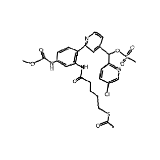 COC(=O)Nc1ccc(-c2cc(C(OS(C)(=O)=O)c3ccc(Cl)cn3)ccn2)c(NC(=O)CCCCSC(C)=O)c1